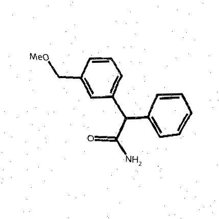 COCc1cccc(C(C(N)=O)c2ccccc2)c1